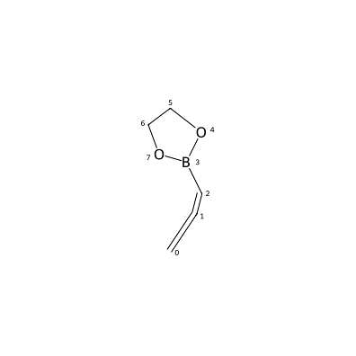 C=C=CB1OCCO1